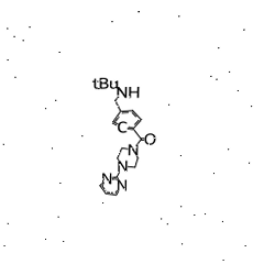 CC(C)(C)NCc1ccc(C(=O)N2CCN(c3ncccn3)CC2)cc1